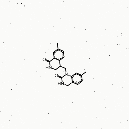 Cc1ccc2c(c1)C(=O)NCC2CN1C(=O)NCc2ccc(C)cc21